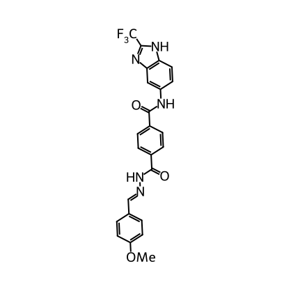 COc1ccc(/C=N/NC(=O)c2ccc(C(=O)Nc3ccc4[nH]c(C(F)(F)F)nc4c3)cc2)cc1